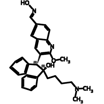 COc1nc2ccc(C=NO)cc2cc1[C@@H](c1ccccc1)[C@](O)(CCCCN(C)C)c1ccccc1